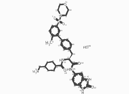 Cc1ccc(S(=O)(=O)N2CCOCC2)cc1-c1ccc(C[C@H](NC(=O)C2CCC(CN)CC2)C(=O)Nc2ccc3[nH]c(=O)[nH]c3c2)cc1.Cl